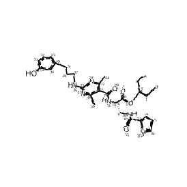 CCC(CC)OC(=O)[C@H](CNC(=O)c1cccs1)NC(=O)c1c(C)nc(NCCCc2cccc(O)c2)nc1C